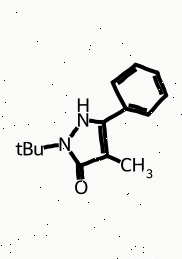 Cc1c(-c2ccccc2)[nH]n(C(C)(C)C)c1=O